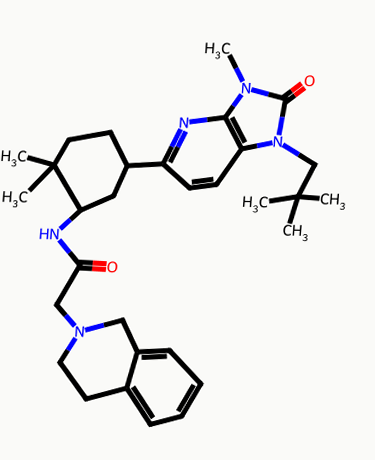 Cn1c(=O)n(CC(C)(C)C)c2ccc(C3CCC(C)(C)C(NC(=O)CN4CCc5ccccc5C4)C3)nc21